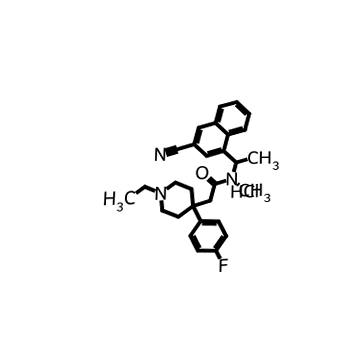 CCN1CCC(CC(=O)N(C)C(C)c2cc(C#N)cc3ccccc23)(c2ccc(F)cc2)CC1.Cl